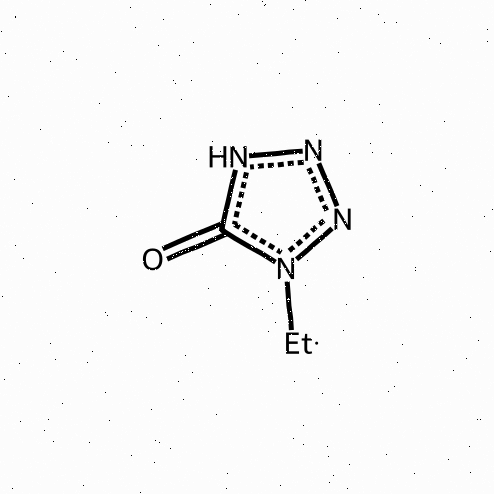 C[CH]n1nn[nH]c1=O